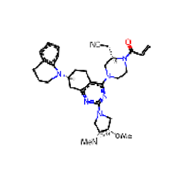 C=CC(=O)N1CCN(c2nc(N3C[C@H](OC)[C@H](NC)C3)nc3c2CC[C@@H](N2CCCc4ccccc42)C3)C[C@@H]1CC#N